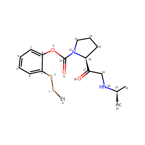 CCSSc1ccccc1OC(=O)N1CCC[C@H]1C(=O)CN[C@@H](C)C(C)=O